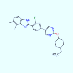 Cc1ccc2[nH]c(-c3ccc(-c4cnc(OC5CCC(CC(=O)O)CC5)nc4)cc3F)nc2c1C